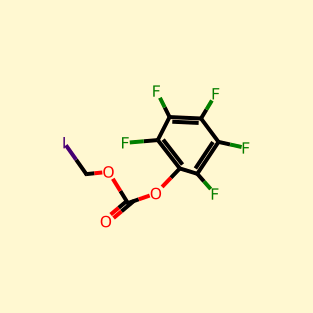 O=C(OCI)Oc1c(F)c(F)c(F)c(F)c1F